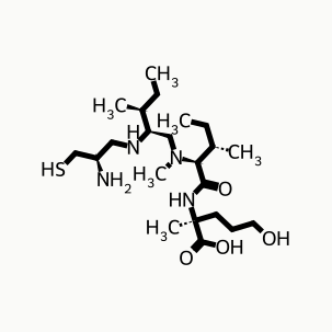 CC[C@H](C)[C@@H](C(=O)N[C@@](C)(CCCO)C(=O)O)N(C)C[C@@H](NC[C@@H](N)CS)[C@@H](C)CC